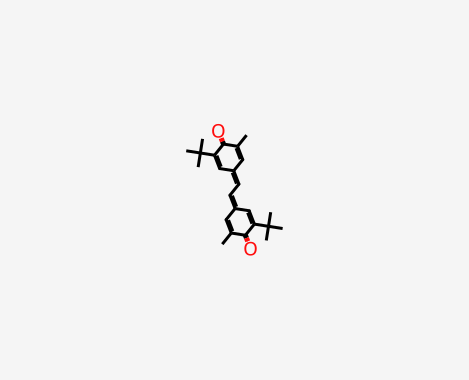 CC1=CC(=CC=C2C=C(C)C(=O)C(C(C)(C)C)=C2)C=C(C(C)(C)C)C1=O